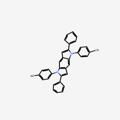 N#Cc1ccc(-n2c(-c3ccccc3)cc3cc4c(cc(-c5ccccc5)n4-c4ccc(C#N)cc4)cc32)cc1